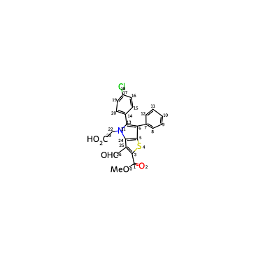 COC(=O)c1sc2c(-c3ccccc3)c(-c3ccc(Cl)cc3)n(CC(=O)O)c2c1C=O